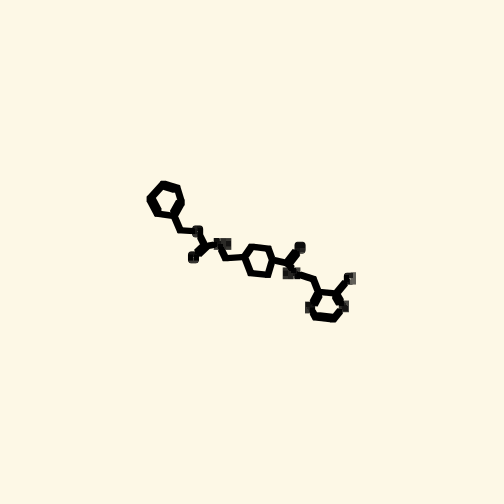 O=C(NCC1CCC(C(=O)NCc2nccnc2Cl)CC1)OCc1ccccc1